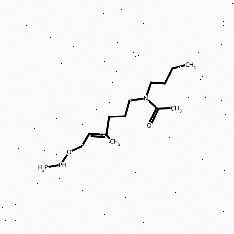 CCCCN(CCC/C(C)=C/COPP)C(C)=O